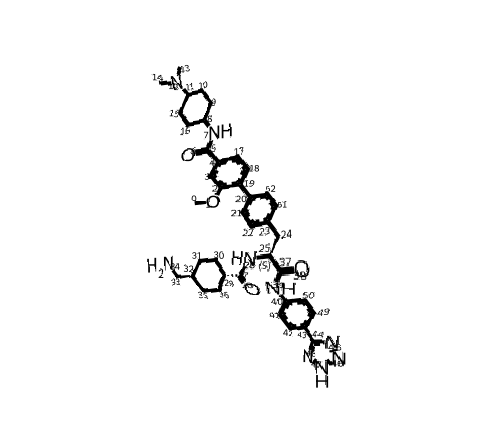 COc1cc(C(=O)NC2CCC(N(C)C)CC2)ccc1-c1ccc(C[C@H](NC(=O)[C@H]2CC[C@H](CN)CC2)C(=O)Nc2ccc(-c3nn[nH]n3)cc2)cc1